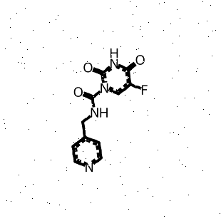 O=C(NCc1ccncc1)n1cc(F)c(=O)[nH]c1=O